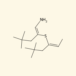 C/C=C(/CC(C)(C)C)S/C(=C\N)CC(C)(C)C